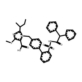 CCC(C)c1nc(SC)c(C(=O)O)n1Cc1ccc(-c2ccccc2S(=O)(=O)NC(=O)C(c2ccccc2)c2ccccc2)cc1